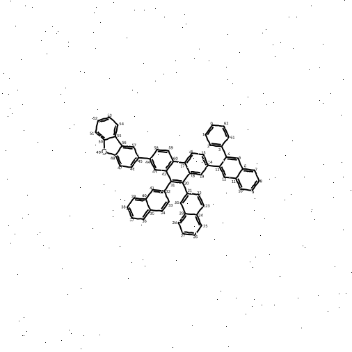 c1ccc(-c2cc3ccccc3cc2-c2ccc3c(c2)c(-c2ccc4ccccc4c2)c(-c2ccc4ccccc4c2)c2cc(-c4ccc5oc6ccccc6c5c4)ccc23)cc1